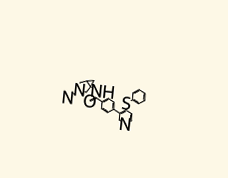 N#CN1CC2C[C@]2(NC(=O)c2ccc(-c3cnccc3Sc3ccccc3)cc2)C1